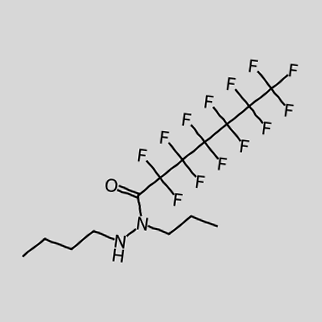 CCCCNN(CCC)C(=O)C(F)(F)C(F)(F)C(F)(F)C(F)(F)C(F)(F)C(F)(F)F